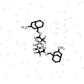 CC1CC2CCCC(COC(=O)C(F)(F)S(=O)(=O)NS(=O)(=O)C(F)(F)C(=O)OCC34CCCC(CC(C)C3)C4)(C1)C2